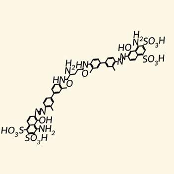 Cc1cc(-c2ccc(NC(=O)CC[C@@H](N)C(=O)Nc3ccc(-c4ccc(N=Nc5ccc6c(S(=O)(=O)O)cc(S(=O)(=O)O)c(N)c6c5O)c(C)c4)cc3C)c(C)c2)ccc1N=Nc1ccc2c(S(=O)(=O)O)cc(S(=O)(=O)O)c(N)c2c1O